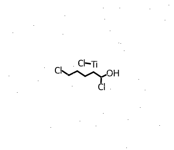 OC(Cl)CCCCCl.[Cl][Ti]